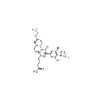 CCOc1ccc2c(n1)CCN(C(=O)CCCC(=O)O)C2C(=O)Nc1cc(F)c2c(c1)CCC2(C)C